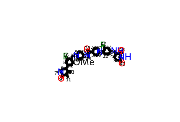 COc1cc(-c2cn(C)c(=O)c(C)c2C)cc(F)c1CN1CCC(N(C)C(=O)C2CCN(c3ccc(NC4CCC(=O)NC4=O)cc3F)CC2)CC1